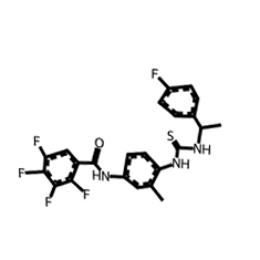 Cc1cc(NC(=O)c2cc(F)c(F)c(F)c2F)ccc1NC(=S)NC(C)c1ccc(F)cc1